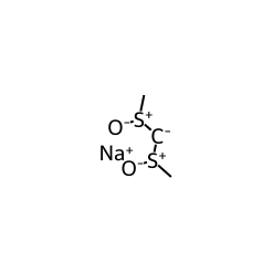 C[S+]([O-])[CH-][S+](C)[O-].[Na+]